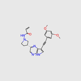 C=CC(=O)NN1CC[C@@H](c2cnc3[nH]cc(C#Cc4cc(OC)cc(OC)c4)c3n2)C1